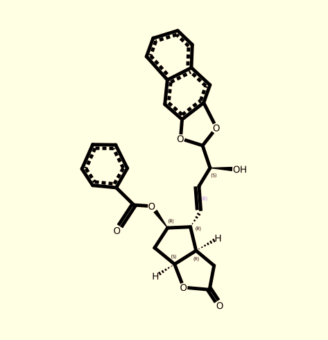 O=C1C[C@@H]2[C@@H](/C=C/[C@H](O)C3Oc4cc5ccccc5cc4O3)[C@H](OC(=O)c3ccccc3)C[C@@H]2O1